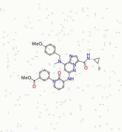 COC(=O)c1cccc(-n2cccc(Nc3cc(N(C)Cc4ccc(OC)cc4)c4ncc(C(=O)N[C@@H]5C[C@@H]5F)n4n3)c2=O)c1